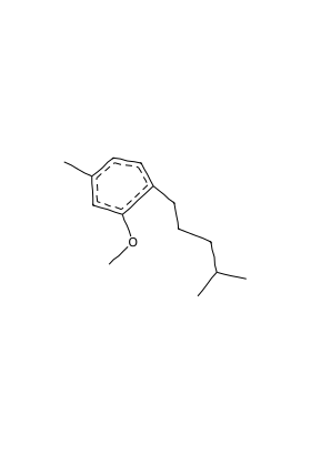 COc1cc(C)ccc1CCCC(C)C